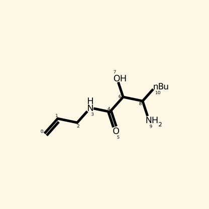 C=CCNC(=O)C(O)C(N)CCCC